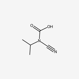 CC(C)N(C#N)C(=O)O